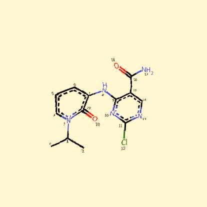 CC(C)n1cccc(Nc2nc(Cl)ncc2C(N)=O)c1=O